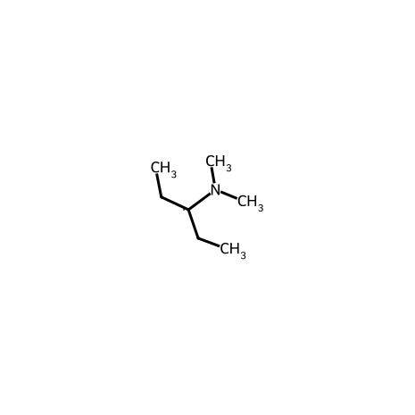 CC[C](CC)N(C)C